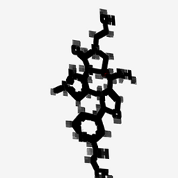 Cn1cc(N2C(C(N)=O)=COC2c2ccnc(NCC(F)(F)F)c2)c(N2CCN(CCO)C2=O)n1